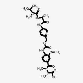 COc1cc(C(=O)N(C)[C@@H](C)C(=O)O)ccc1NC(=O)OCc1ccc(NC(=O)C(C)NC(=O)[C@@H](N)C(C)C)cc1